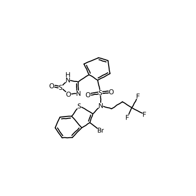 O=S1NC(c2ccccc2S(=O)(=O)N(CCC(F)(F)F)c2sc3ccccc3c2Br)=NO1